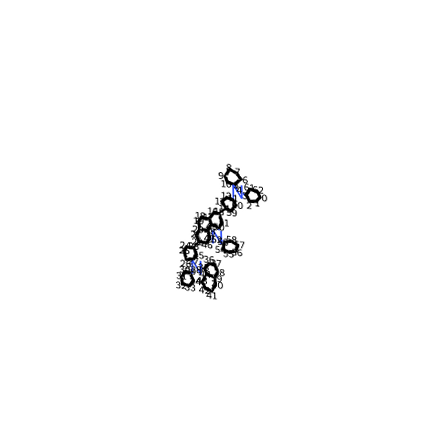 c1ccc(N(c2ccccc2)c2ccc(-c3cc4ccc5cc(-c6cccc(N(c7ccccc7)c7cccc8ccccc78)c6)cc6c5c4c(c3)n6-c3ccccc3)cc2)cc1